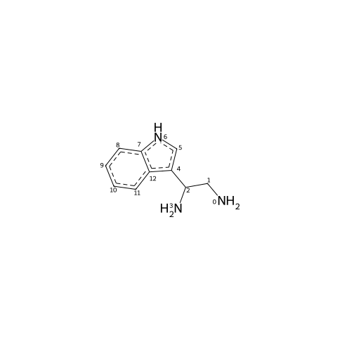 NCC(N)c1c[nH]c2ccccc12